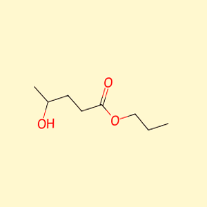 CCCOC(=O)CCC(C)O